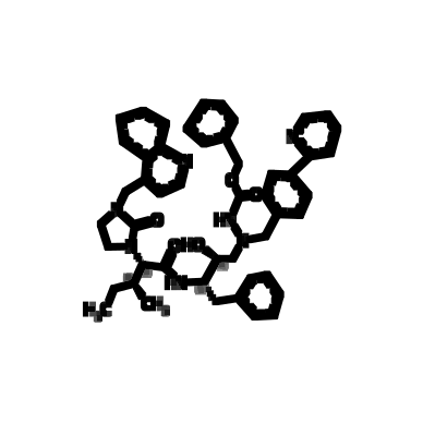 CC[C@H](C)[C@@H](C(=O)N[C@@H](Cc1ccccc1)[C@@H](O)CN(Cc1ccc(-c2ccccn2)cc1)NC(=O)OCc1ccccc1)N1CCN(Cc2ccnc3ccccc23)C1=O